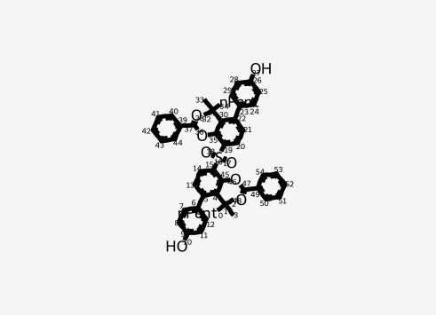 CCCCCC(C)(C)c1c(-c2ccc(O)cc2)ccc(S(=O)(=O)c2ccc(-c3ccc(O)cc3)c(C(C)(C)CCCCC)c2OC(=O)c2ccccc2)c1OC(=O)c1ccccc1